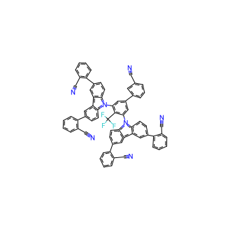 N#Cc1cccc(-c2cc(-n3c4ccc(-c5ccccc5C#N)cc4c4cc(-c5ccccc5C#N)ccc43)c(C(F)(F)F)c(-n3c4ccc(-c5ccccc5C#N)cc4c4cc(-c5ccccc5C#N)ccc43)c2)c1